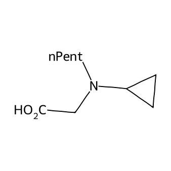 CCCCCN(CC(=O)O)C1CC1